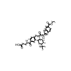 CCOC(=O)c1ccc2nc(NC(=O)N(Cc3ccc(C(=O)NCCC(=O)O)cc3)[C@H]3CC[C@H](C(C)(C)C)CC3)sc2c1